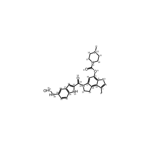 Cc1csc2c(OC(=O)N3CCN(C)CC3)cc3c(c12)CCN3C(=O)c1cc2cc(NC=O)ccc2[nH]1